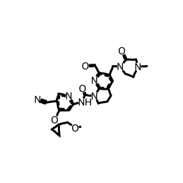 COCC1(Oc2cc(NC(=O)N3CCCc4cc(CN5CCN(C)CC5=O)c(C=O)nc43)ncc2C#N)CC1